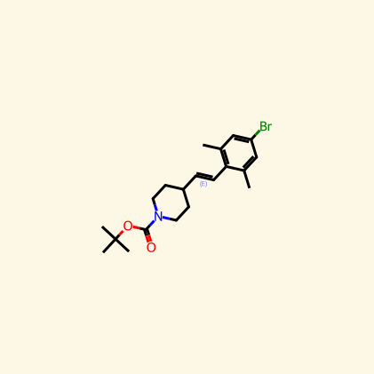 Cc1cc(Br)cc(C)c1/C=C/C1CCN(C(=O)OC(C)(C)C)CC1